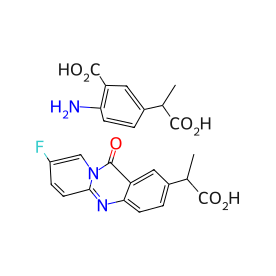 CC(C(=O)O)c1ccc(N)c(C(=O)O)c1.CC(C(=O)O)c1ccc2nc3ccc(F)cn3c(=O)c2c1